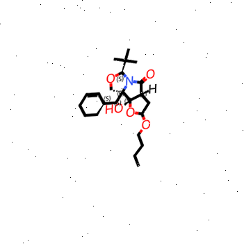 CCCCOC1C[C@H]2C(=O)N3[C@H](C(C)(C)C)OC[C@@]3([C@@H](O)[C@@H]3C=CCCC3)[C@@]2(C)O1